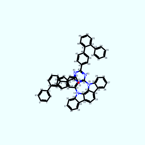 c1ccc(-c2cccc(-c3cccc(-n4c5ccccc5c5ccc6c7ccccc7n(-c7nc(-c8ccccc8)nc(-c8ccc(-c9ccccc9-c9ccccc9)cc8)n7)c6c54)c3)c2)cc1